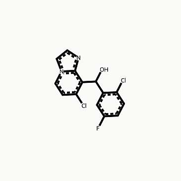 OC(c1cc(F)ccc1Cl)c1c(Cl)ccn2ccnc12